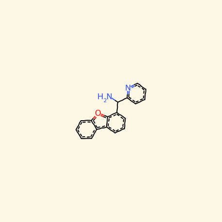 NC(c1ccccn1)c1cccc2c1oc1ccccc12